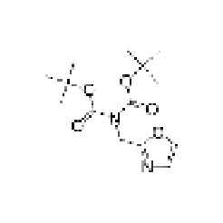 CC(C)(C)OC(=O)N(Cc1ncco1)C(=O)OC(C)(C)C